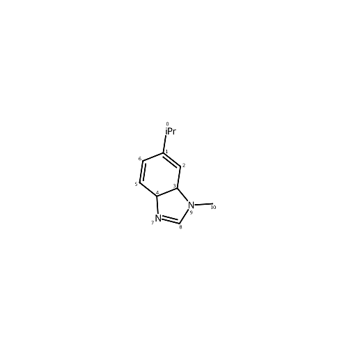 CC(C)C1=CC2C(C=C1)N=CN2C